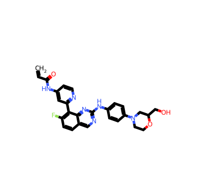 C=CC(=O)Nc1ccnc(-c2c(F)ccc3cnc(Nc4ccc(N5CCOC(CO)C5)cc4)nc23)c1